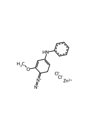 COC1=CC(Nc2ccccc2)=CCC1=[N+]=[N-].[Cl-].[Cl-].[Zn+2]